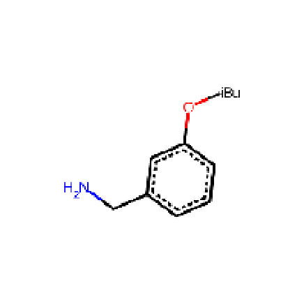 CCC(C)Oc1cccc(CN)c1